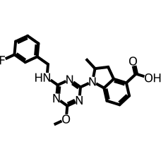 COc1nc(NCc2cccc(F)c2)nc(N2c3cccc(C(=O)O)c3CC2C)n1